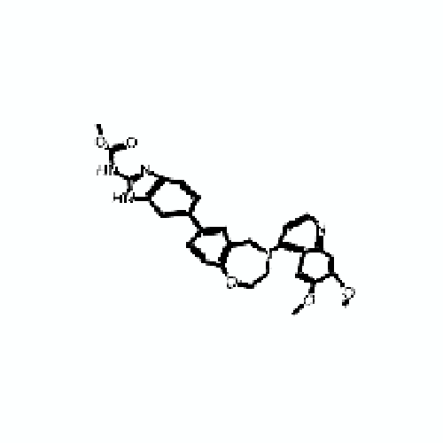 COC(=O)Nc1nc2ccc(-c3ccc4c(c3)CN(c3ccnc5cc(OC)c(OC)cc35)CCO4)cc2[nH]1